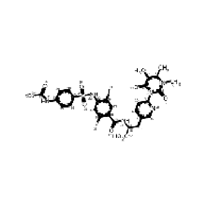 Cc1c(C)n(C)c(=O)n(-c2ccc(C[C@H](NC(=O)c3cc(F)c(NS(=O)(=O)c4ccc(NC(=O)C(C)(C)C)cc4)cc3F)C(=O)O)cn2)c1=O